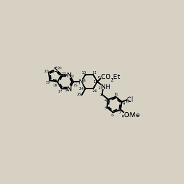 CCOC(=O)C1(NCc2ccc(OC)c(Cl)c2)CCN(c2ncc3ccsc3n2)C(C)C1